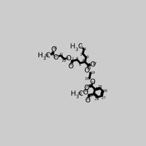 CCCCC(CCC(=O)OCCOC(C)=O)C(=O)OCCOC(=O)c1ccccc1C(=O)OC